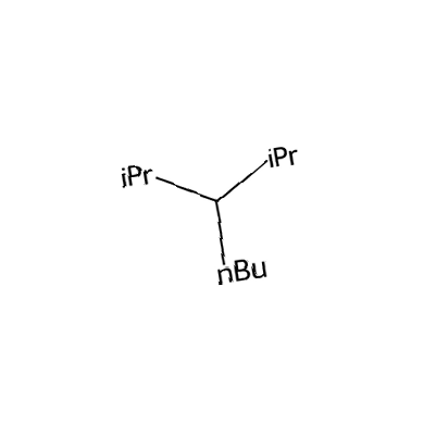 CCCCC(C(C)C)C(C)C